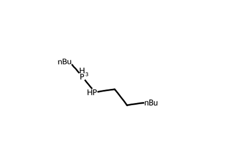 CCCCCCP[PH3]CCCC